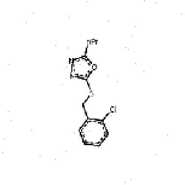 CCCc1nnc(SCc2ccccc2Cl)o1